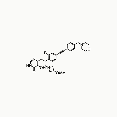 COC1CN(C[C@H](Cc2nc[nH]c(=O)c2O)c2ccc(C#Cc3ccc(CN4CCOCC4)cc3)cc2F)C1